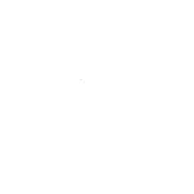 c1ccc2c(c1)ccc1cc(N(c3ccc4ccc5c6ccccc6oc5c4c3)c3cc4ccccc4c4ccccc34)ccc12